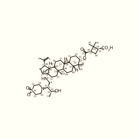 C=C(C)[C@@H]1CC[C@]2(NC[C@@H]([C@H](C)O)N3CCS(=O)(=O)CC3)CC[C@]3(C)[C@H](CC[C@@H]4[C@@]5(C)CC[C@H](OC(=O)[C@@H]6C[C@H](C(=O)O)C6(C)C)C(C)(C)[C@@H]5CC[C@]43C)[C@@H]12